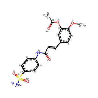 COc1ccc(C=CC(=O)Nc2ccc(S(N)(=O)=O)cc2)cc1OC(C)=O